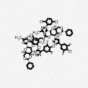 Cc1nc([C@H]2O[C@H]3CO[C@@H](c4ccccc4)O[C@H]3[C@@H](n3cc(-c4cc(F)c(Cl)c(F)c4)nn3)[C@@H]2OC(=O)N(C)CCN(C)C(=O)O[C@@H]2[C@@H](n3cc(-c4cc(F)c(Cl)c(F)c4)nn3)[C@H]3O[C@@H](c4ccccc4)OC[C@H]3O[C@H]2c2nc(C)nn2-c2cc(Cl)ccc2Cl)n(-c2cc(Cl)ccc2Cl)n1